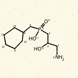 NCC(O)CP(=O)(O)CC1CCCCC1